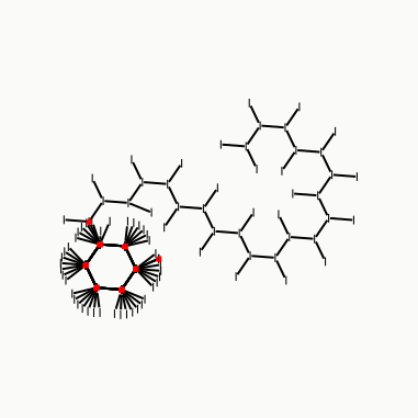 II(I)I(I)I(I)I(I)I(I)I(I)I(I)I(I)I(I)I(I)I(I)I(I)I(I)I(I)I(I)I(I)I(I)I(I)I(I)I(I)I(I)I(I)I(I)I(I)I(I)I(I)I(I)I(I)I(I)I(I)I(I)I(I)I(I)I(I)I(I)I(I)I(I)I(I)I(I)I(I)I(I)I(I)I(I)I(I)I(I)I(I)I(I)I(I)I(I)I(I)I(I)I(I)I(I)I(I)I(I)I(I)I(I)I(I)I(I)I(I)I(I)I(I)I